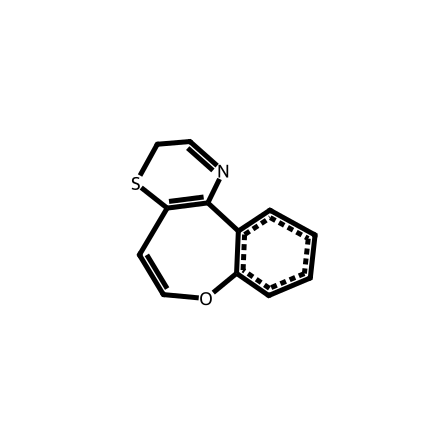 C1=CC2=C(N=CCS2)c2ccccc2O1